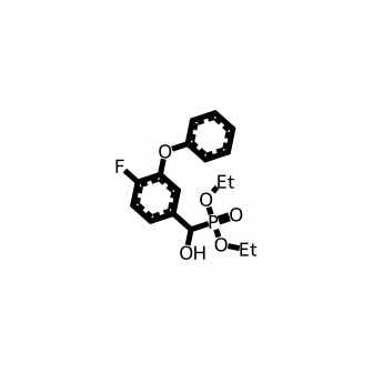 CCOP(=O)(OCC)C(O)c1ccc(F)c(Oc2ccccc2)c1